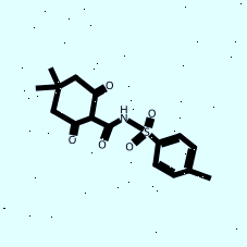 Cc1ccc(S(=O)(=O)NC(=O)C2C(=O)CC(C)(C)CC2=O)cc1